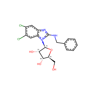 OC[C@@H]1O[C@H](n2c(NCc3ccccc3)nc3cc(Cl)c(Cl)cc32)[C@@H](O)[C@H]1O